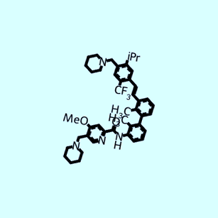 COc1cc(C(=O)Nc2cccc(-c3cccc(/C=C/c4cc(C(C)C)c(CN5CCCCC5)cc4C(F)(F)F)c3C)c2C)ncc1CN1CCCCC1